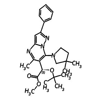 COC(=O)[C@@H](OC(C)(C)C)c1c(C)nc2cc(-c3ccccc3)nn2c1N1CCC(C)(C)C1